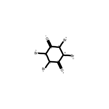 O=C1C(Br)C(Br)C(=O)C(Br)C1Br